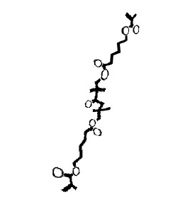 C=C(C)C(=O)OCCCCCC(=O)OCC(C)(C)CC(=O)C(C)(C)COC(=O)CCCCCOC(=O)C(=C)C